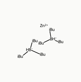 CCC(C)[BH-](C(C)CC)C(C)CC.CCC(C)[BH-](C(C)CC)C(C)CC.[Zn+2]